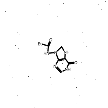 CCC(=O)NN1CNc2c1nc[nH]c2=O